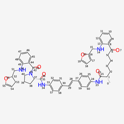 C[C@@H](CCCCC(=O)c1ccccc1NCc1ccco1)C(=O)Nc1ccc(/C=C/c2ccc(NC(=O)[C@@H]3CCCN3C(=O)c3ccccc3NCC3CC=CO3)cc2)cc1